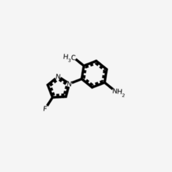 Cc1ccc(N)cc1-n1cc(F)cn1